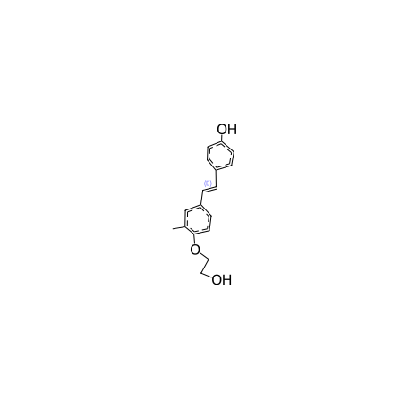 Cc1cc(/C=C/c2ccc(O)cc2)ccc1OCCO